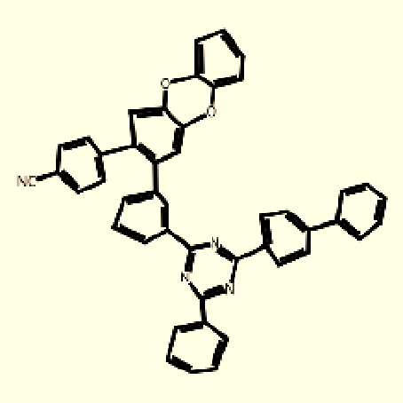 N#Cc1ccc(-c2cc3c(cc2-c2cccc(-c4nc(-c5ccccc5)nc(-c5ccc(-c6ccccc6)cc5)n4)c2)Oc2ccccc2O3)cc1